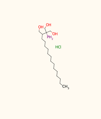 CCCCCCCCCCCCCCC(CO)C(P)(CO)CO.Cl